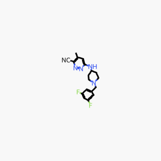 Cc1cc(NC2CCN(Cc3cc(F)cc(F)c3)CC2)nnc1C#N